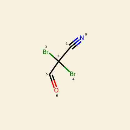 N#CC(Br)(Br)C=O